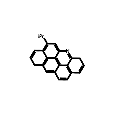 CC(C)c1cc2nc3c4c(ccc5cc6c(c1C=CC6)c2c54)C=CC3